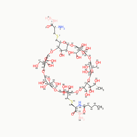 BBC(=O)[C@H](N)CSCC1OC2OC3C(CO)OC(OC4C(CO)OC(OC(C(O)[C@@H](C)O)C(CO)OOC5C(CSC[C@@H](NC(=O)CCCC)C(=O)BB)OC(OC6C(CO)OC(OC7C(CO)OC(OC1C(O)C2O)C(O)C7O)C(O)C6O)C(O)C5O)C(O)C4O)C(O)C3O